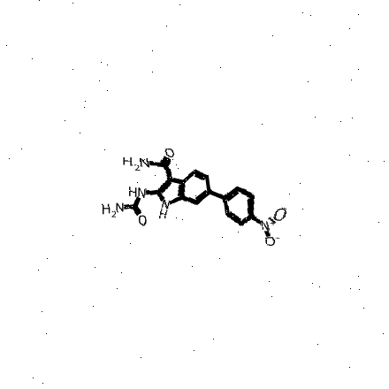 NC(=O)Nc1[nH]c2cc(-c3ccc([N+](=O)[O-])cc3)ccc2c1C(N)=O